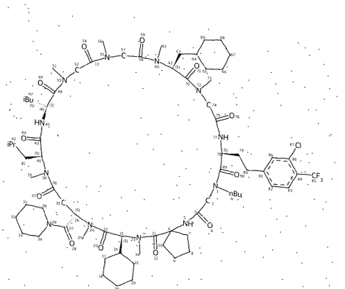 CCCCN1CC(=O)NC2(CCCC2)C(=O)N(C)[C@@H](C2CCCCC2)C(=O)N(C)[C@H](C(=O)N2CCCCC2)CC(=O)N(C)[C@@H](CC(C)C)C(=O)N[C@@H]([C@@H](C)CC)C(=O)N(C)CC(=O)N(C)CC(=O)N(C)[C@@H](CC2CCCCC2)C(=O)N(C)CC(=O)N[C@@H](CCc2ccc(C(F)(F)F)c(Cl)c2)C1=O